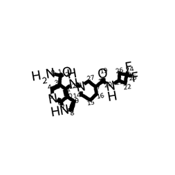 NC(=O)c1cnc2[nH]ccc2c1NN1CCCC(C(=O)NC2CC(F)(F)C2)C1